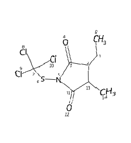 CCC1C(=O)N(SC(Cl)(Cl)Cl)C(=O)C1C